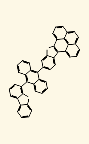 c1ccc2c(c1)sc1c(-c3c4ccccc4c(-c4ccc5c(c4)oc4c6cccc7ccc8cccc(c54)c8c76)c4ccccc34)cccc12